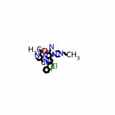 CC=CN1CCN(c2c(C#N)c(=O)n(-c3c(C)ccnc3C(C)C)c3nc(-c4ccccc4F)c(Cl)cc23)CC1